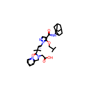 CC(C)COc1c(C(=O)NC2C3CC4CC(C3)CC2C4)cnn1/C=C/C(C)(C)C(=O)N(CC(=O)O)Cc1ccccn1